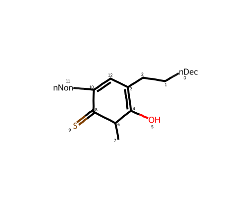 CCCCCCCCCCCCC1=C(O)C(C)C(=S)C(CCCCCCCCC)=C1